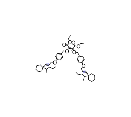 CCCC(C)C1(/C=C/COc2ccc(CO[C@@H](C(=O)OCC)[C@@H](OCc3ccc(OC/C=C/C4(C(C)CCC)CCCCC4)cc3)C(=O)OCC)cc2)CCCCC1